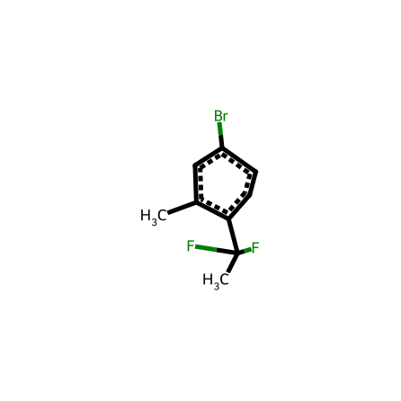 Cc1cc(Br)ccc1C(C)(F)F